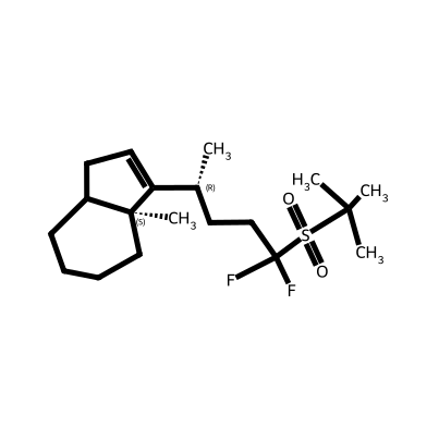 C[C@H](CCC(F)(F)S(=O)(=O)C(C)(C)C)C1=CCC2CCCC[C@]12C